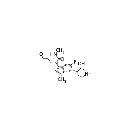 CNC(=O)N(CCC=O)c1nn(C)c2cc(C3CCNCC3O)c(F)cc12